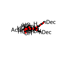 CCCCCCCCCCCCCCCCCCCCCC(=O)N[C@@H](CO[C@@H]1O[C@H](CO)[C@@H](O[C@@H]2O[C@H](CO)[C@H](O)[C@H](O[C@]3(C(=O)O)C[C@H](O)[C@@H](NC(C)=O)C([C@H](O)[C@H](O)CO)O3)[C@H]2O)[C@H](O)[C@H]1O)[C@H](O)CCCCCCCCCCCCCCC